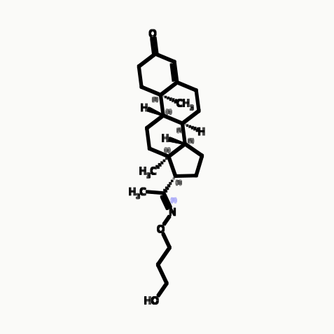 C/C(=N\OCCCO)[C@H]1CC[C@H]2[C@@H]3CCC4=CC(=O)CC[C@]4(C)[C@H]3CC[C@]12C